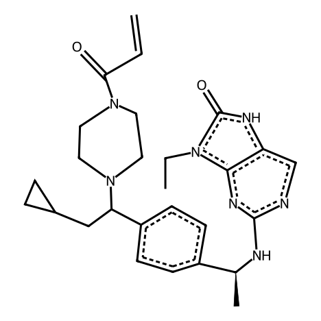 C=CC(=O)N1CCN(C(CC2CC2)c2ccc([C@H](C)Nc3ncc4[nH]c(=O)n(CC)c4n3)cc2)CC1